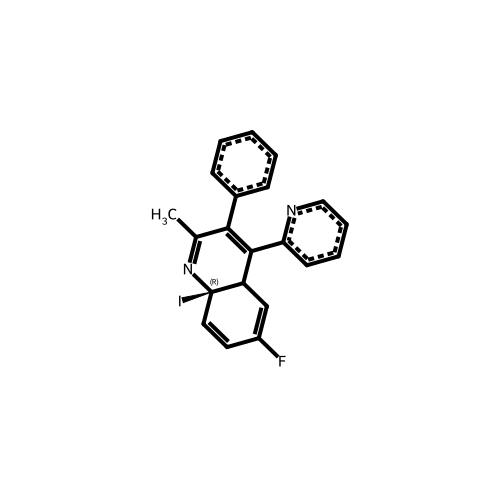 CC1=N[C@@]2(I)C=CC(F)=CC2C(c2ccccn2)=C1c1ccccc1